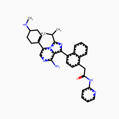 CNC1CC=C(c2cnc(N)c3c(-c4ccc(CC(=O)Nc5ccccn5)c5ccccc45)nc(C(C)C)n23)CC1